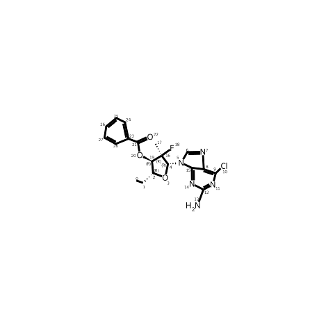 CC[C@H]1O[C@@H](n2cnc3c(Cl)nc(N)nc32)[C@](C)(F)[C@@H]1OC(=O)c1ccccc1